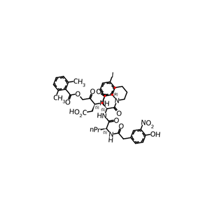 CCC[C@H](NC(=O)Cc1ccc(O)c([N+](=O)[O-])c1)C(=O)N[C@@H](Cc1ccc(I)cc1)C(=O)N1CCCC[C@@H]1C(=O)N[C@@H](CC(=O)O)C(=O)COC(=O)c1c(C)cccc1C